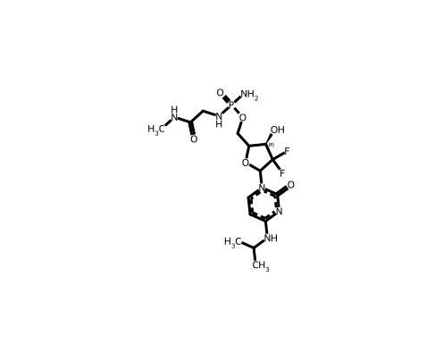 CNC(=O)CNP(N)(=O)OCC1OC(n2ccc(NC(C)C)nc2=O)C(F)(F)[C@@H]1O